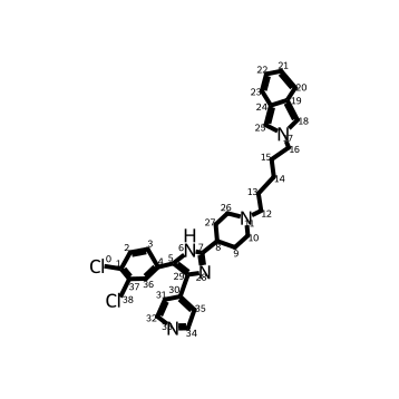 Clc1ccc(-c2[nH]c(C3CCN(CCCCCn4cc5ccccc5c4)CC3)nc2-c2ccncc2)cc1Cl